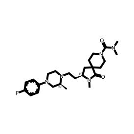 C[C@H]1CN(c2ccc(F)cc2)CCN1CC[C@H]1CC2(CCN(C(=O)N(C)C)CC2)C(=O)N1C